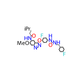 COc1cc2ncnc(Oc3ccc(NC(=O)NCCc4ccc(F)cc4)cc3F)c2cc1NC(=O)CCC(C)C